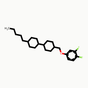 CCCCCC1CCC(C2CCC(COc3ccc(F)c(F)c3)CC2)CC1